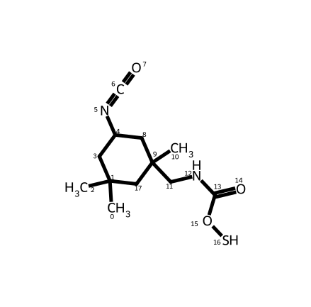 CC1(C)CC(N=C=O)CC(C)(CNC(=O)OS)C1